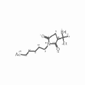 BC(C)(CC)C1CC(=O)N(CCCCCC(C)=O)C1=O